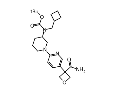 CC(C)(C)OC(=O)N(CC1CCC1)[C@@H]1CCCN(c2ccc(C3(C(N)=O)COC3)cn2)C1